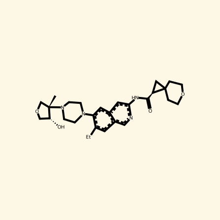 CCc1cc2cnc(NC(=O)[C@H]3CC34CCOCC4)cc2cc1N1CCN([C@@]2(C)COC[C@H]2O)CC1